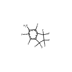 Fc1c(F)c2c(c(F)c1P)C(F)(F)C(F)(F)C2(F)F